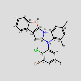 Cc1cc(Br)c(Cl)c(-n2c3c(C)cc(C)cc3n3c4oc5ccccc5c4cc23)c1